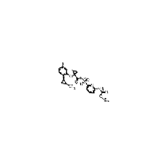 Cc1ccc(C2CC2C(F)(F)F)c(OC2(C(=O)NS(=O)(=O)c3cccc(NC(=O)OC(C)(C)C)n3)CC2)c1